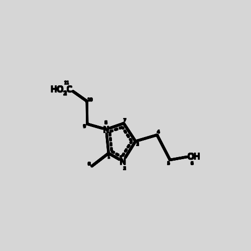 Cc1nc(CCO)cn1CCC(=O)O